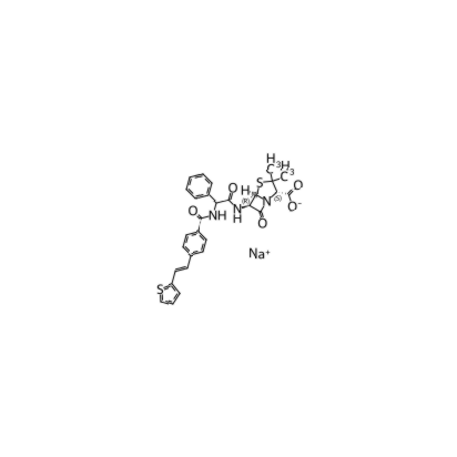 CC1(C)S[C@@H]2[C@H](NC(=O)C(NC(=O)c3ccc(C=Cc4cccs4)cc3)c3ccccc3)C(=O)N2[C@H]1C(=O)[O-].[Na+]